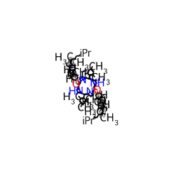 Cc1cc(C)c(-c2c3nc(c(O[C@H]4CC[C@@]5(C)[C@@H](CC[C@@H]6[C@@H]5CC[C@]5(C)[C@@H]([C@H](C)CCCC(C)C)CC[C@@H]65)C4)c4ccc([nH]4)c(-c4c(C)cc(C)cc4C)c4nc(c(O[C@H]5CC[C@@]6(C)[C@@H](CC[C@@H]7[C@@H]6CC[C@]6(C)[C@@H]([C@H](C)CCCC(C)C)CC[C@@H]76)C5)c5ccc2[nH]5)C=C4)C=C3)c(C)c1